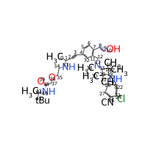 CC(C#Cc1ccc(/C=C/O)c(CN(C)C2C(C)(C)C(NC3C=C(Cl)C(C#N)=CC3)C2(C)C)c1)NCCOCC(=O)NC(C)C(C)(C)C